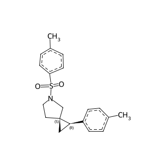 Cc1ccc([C@H]2C[C@]23CCN(S(=O)(=O)c2ccc(C)cc2)C3)cc1